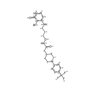 O=C(CC1CCN(c2ncc(C(F)(F)F)cn2)CC1)NOCCCNc1cn[nH]c(=O)c1Br